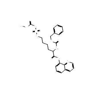 CC(C)(C)OC(=O)NS(=O)(=O)NCCCCC(NC(=O)OCc1ccccc1)C(=O)Nc1cccc2cccnc12